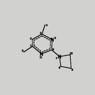 Cc1cc(C)nc(N2CCC2)n1